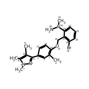 Cc1cc(-c2nn(C)c(C)c2C)ccc1OCc1c(Br)cccc1N(C)N